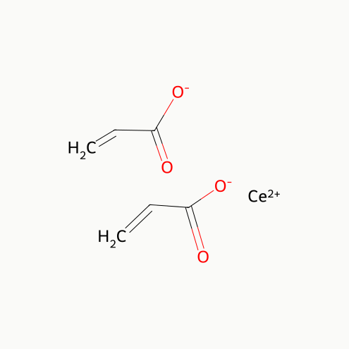 C=CC(=O)[O-].C=CC(=O)[O-].[Ce+2]